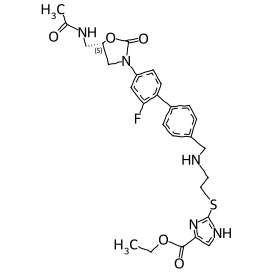 CCOC(=O)c1c[nH]c(SCCNCc2ccc(-c3ccc(N4C[C@H](CNC(C)=O)OC4=O)cc3F)cc2)n1